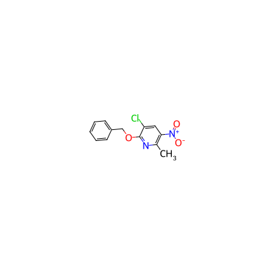 Cc1nc(OCc2ccccc2)c(Cl)cc1[N+](=O)[O-]